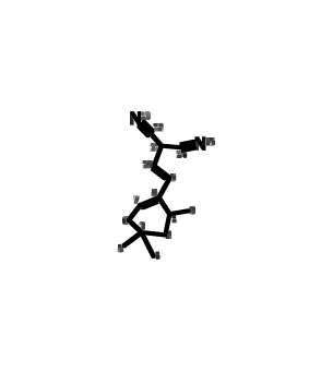 CC1CC(C)(C)CC=C1C=CC(C#N)C#N